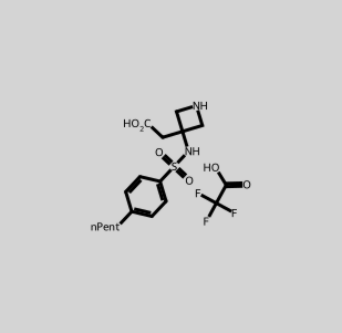 CCCCCc1ccc(S(=O)(=O)NC2(CC(=O)O)CNC2)cc1.O=C(O)C(F)(F)F